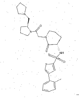 Cc1ccccc1-c1csc(S(=O)(=O)N[C@H]2CCCN(CC(=O)N3CCC[C@H]3CN3CCCC3)C2=O)c1